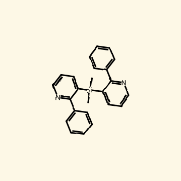 C[Si](C)(c1cccnc1-c1ccccc1)c1cccnc1-c1ccccc1